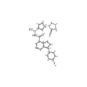 CCC(NC(=O)c1cncc2c1cnn2-c1ccc(F)cc1)c1cnn([C@@H]2CCOC2=O)c1